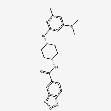 Cc1cc(N(C)C)cc(N[C@H]2CC[C@@H](NC(=O)c3ccc4nonc4c3)CC2)n1